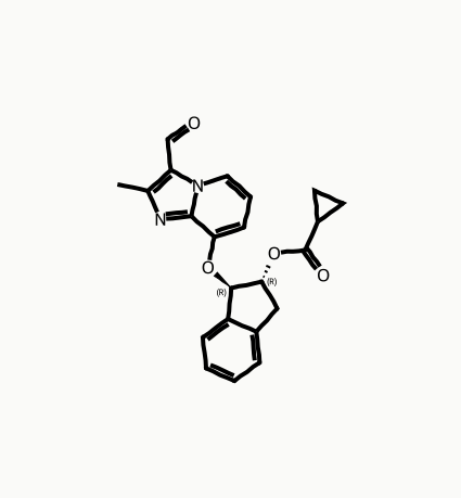 Cc1nc2c(O[C@@H]3c4ccccc4C[C@H]3OC(=O)C3CC3)cccn2c1C=O